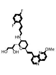 COc1ccc2nccc(C=C[C@@H]3CC[C@@H](NC/C=C/c4cc(F)ccc4F)[C@@H](C[C@@H](O)CO)O3)c2n1